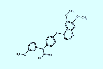 COc1cccc(N(C(=O)O)c2ccc(Oc3ccnc4cc(OC)c(OC)cc34)cc2)c1